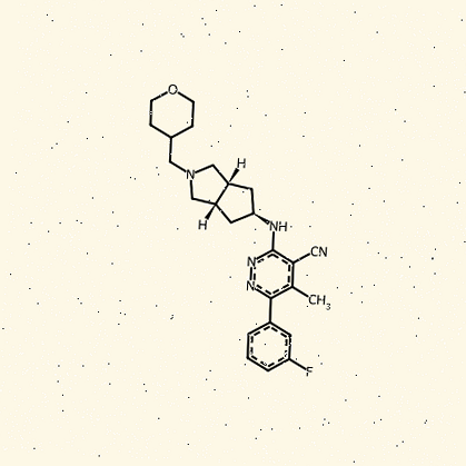 Cc1c(-c2cccc(F)c2)nnc(N[C@H]2C[C@@H]3CN(CC4CCOCC4)C[C@@H]3C2)c1C#N